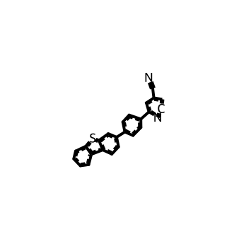 N#Cc1ccnc(-c2ccc(-c3ccc4c(c3)sc3ccccc34)cc2)c1